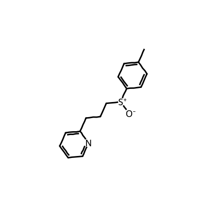 Cc1ccc([S+]([O-])CCCc2ccccn2)cc1